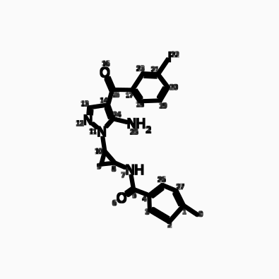 Cc1ccc(C(=O)NC2CC2n2ncc(C(=O)c3cccc(I)c3)c2N)cc1